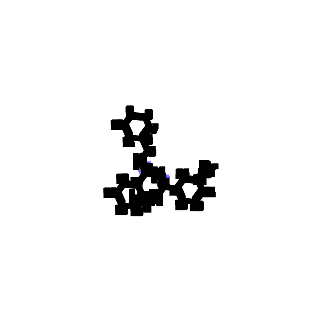 N/C(=N\C(=N/Cc1ccccc1)c1ccccc1)c1cccc(Br)c1